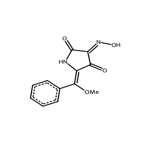 COC(=C1NC(=O)C(=NO)C1=O)c1ccccc1